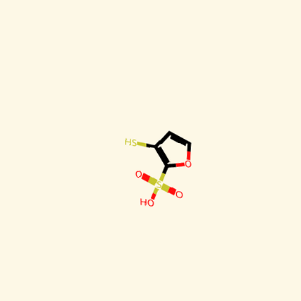 O=S(=O)(O)c1occc1S